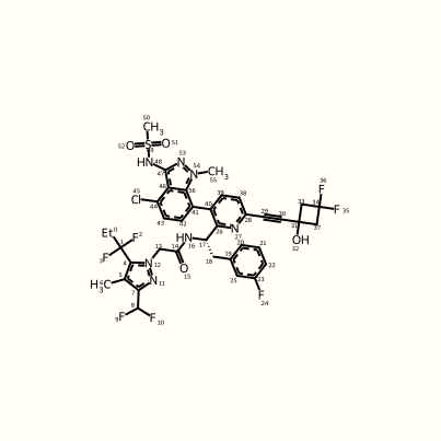 CCC(F)(F)c1c(C)c(C(F)F)nn1CC(=O)N[C@@H](Cc1cccc(F)c1)c1nc(C#CC2(O)CC(F)(F)C2)ccc1-c1ccc(Cl)c2c(NS(C)(=O)=O)nn(C)c12